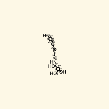 OCc1cc([C@@H](O)CNCCCCCCOCCOCc2ccc(O)cc2)ccc1O